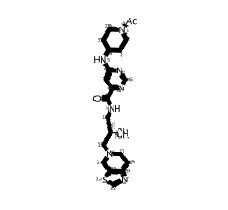 CC(=O)N1CCC(Nc2cc(C(=O)NC[C@H](O)CN3CCc4ncsc4C3)ncn2)CC1